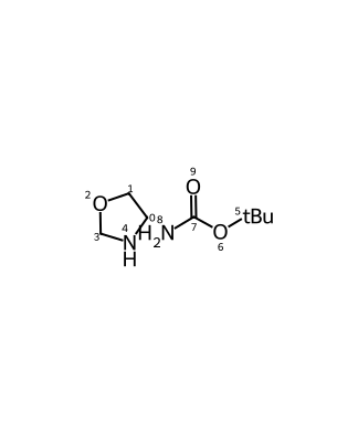 C1COCN1.CC(C)(C)OC(N)=O